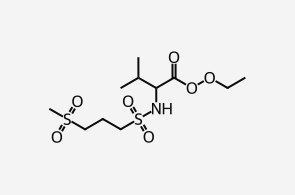 CCOOC(=O)C(NS(=O)(=O)CCCS(C)(=O)=O)C(C)C